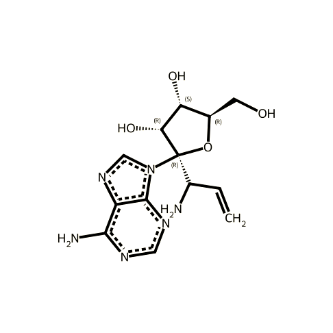 C=CC(N)[C@@]1(n2cnc3c(N)ncnc32)O[C@H](CO)[C@@H](O)[C@H]1O